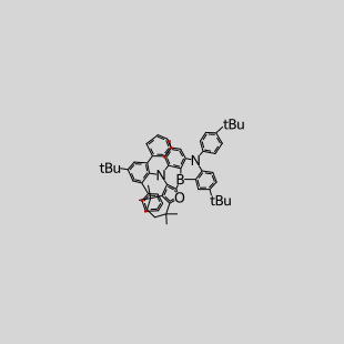 Cc1cc2c3c(c1)N(c1c(-c4ccccc4)cc(C(C)(C)C)cc1-c1ccccc1)c1c(oc4c1C(C)(C)CCC4(C)C)B3c1cc(C(C)(C)C)ccc1N2c1ccc(C(C)(C)C)cc1